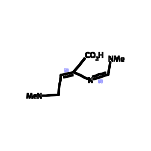 CN/C=N\C(=C/CNC)C(=O)O